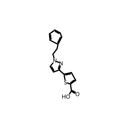 O=C(O)c1ccc(-c2ccn(CCc3ccccc3)n2)s1